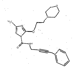 Cc1cn(C(=O)NCC#Cc2ccccc2)c(OCCN2CCOCC2)n1